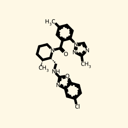 Cc1ccc(-n2cnc(C)n2)c(C(=O)N2CCC[C@@H](C)[C@H]2CNc2nc3cc(Cl)ccc3o2)c1